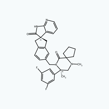 CN1C[C@@](C)(c2cc(F)cc(F)c2)N(Cc2ccc3c(c2)C[C@@]2(C3)C(=O)Nc3ncccc32)C(=O)C12CCCC2